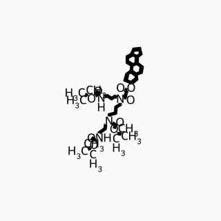 CC(C)(C)OC(=O)NCCCN(CCCCN(CCCNC(=O)OC(C)(C)C)C(=O)C(=O)Oc1ccc2c(ccc3c4c(ccc32)C=CC4)c1)C(=O)OC(C)(C)C